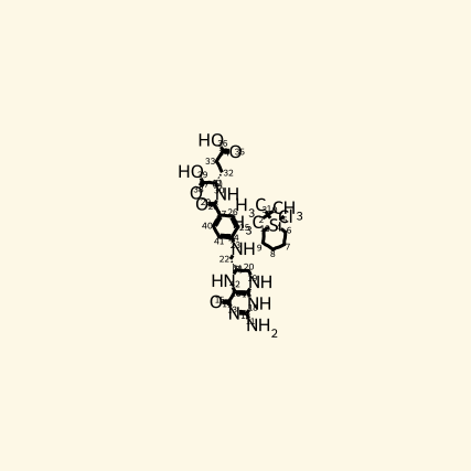 CC(C)(C)[Si]1(Cl)CCCCC1.Nc1nc(=O)c2c([nH]1)NC[C@@H](CNc1ccc(C(=O)N[C@@H](CCC(=O)O)C(=O)O)cc1)N2